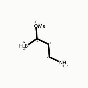 BC(CCN)OC